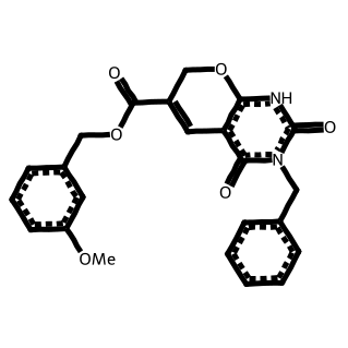 COc1cccc(COC(=O)C2=Cc3c([nH]c(=O)n(Cc4ccccc4)c3=O)OC2)c1